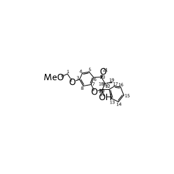 COCOc1ccc2c(c1)O[C@@](O)(c1ccccc1)[C@H](C)C2=O